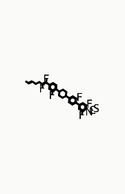 C/C=C/CC/C(F)=C(\F)c1ccc(C2CCC(c3ccc(-c4cc(F)c(N=C=S)c(F)c4)c(F)c3)CC2)c(F)c1